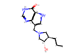 CCC[C@@H]1CN(Cc2c[nH]c3c(=O)[nH]cnc23)C[C@H]1O